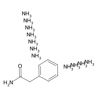 N.N.N.N.N.N.N.N.N.N.N.NC(=O)Cc1ccccc1